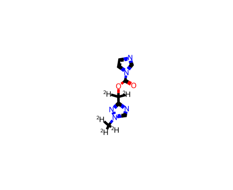 [2H]C([2H])(OC(=O)n1ccnc1)c1ncn(C([2H])([2H])[2H])n1